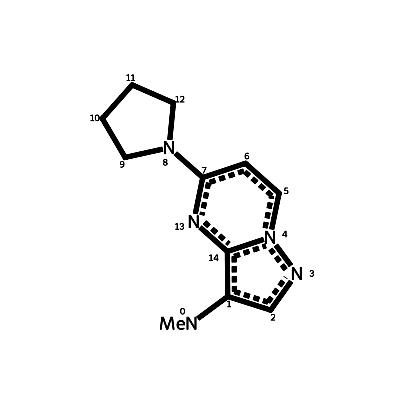 CNc1cnn2ccc(N3CCCC3)nc12